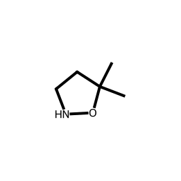 CC1(C)CCNO1